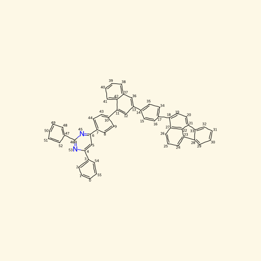 c1ccc(-c2cc(-c3ccc(-c4cc(-c5ccc(-c6ccc7c8c(cccc68)-c6ccccc6-7)cc5)cc5ccccc45)cc3)nc(-c3ccccc3)n2)cc1